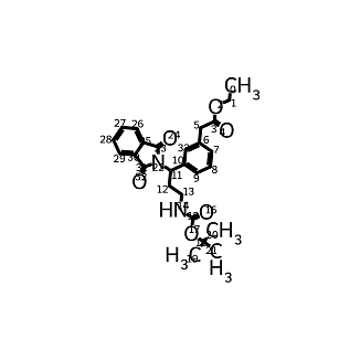 CCOC(=O)Cc1cccc(C(CCNC(=O)OC(C)(C)C)N2C(=O)c3ccccc3C2=O)c1